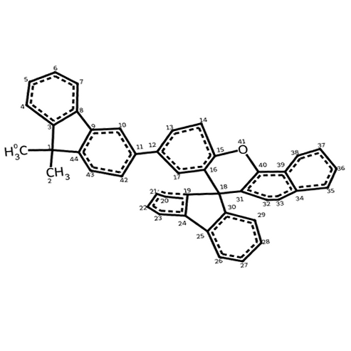 CC1(C)c2ccccc2-c2cc(-c3ccc4c(c3)C3(c5ccccc5-c5ccccc53)c3ccc5ccccc5c3O4)ccc21